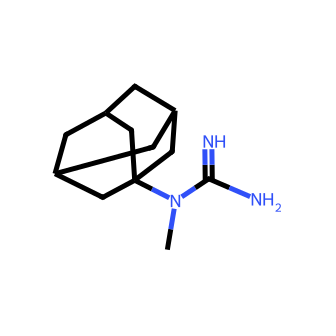 CN(C(=N)N)C12CC3CC(CC(C3)C1)C2